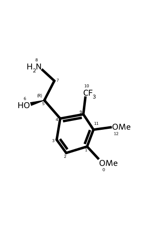 COc1ccc([C@@H](O)CN)c(C(F)(F)F)c1OC